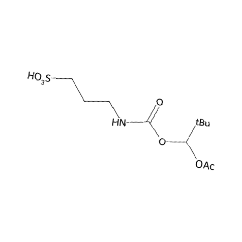 CC(=O)OC(OC(=O)NCCCS(=O)(=O)O)C(C)(C)C